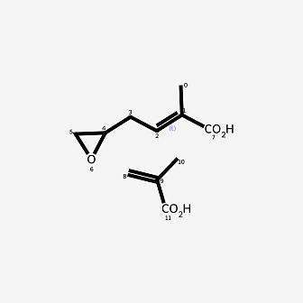 C/C(=C\CC1CO1)C(=O)O.C=C(C)C(=O)O